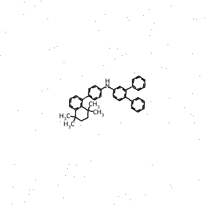 CC1(C)CCC(C)(C)c2c(-c3ccc(Nc4ccc(-c5ccccc5)c(-c5ccccc5)c4)cc3)cccc21